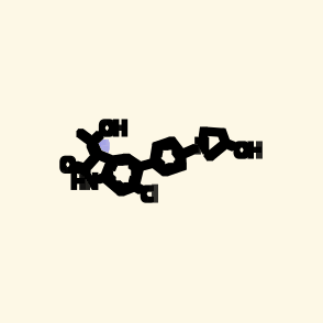 C/C(O)=C1\C(=O)Nc2cc(Cl)c(-c3ccc(N4CCC(O)C4)cc3)cc21